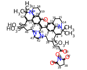 CC1(C)C=C(CS(=O)(=O)O)c2cc3c(c4c2N1CCC4)Oc1c2c4c(cc1=C3c1n(CCCCCC(=O)ON3C(=O)CCC3=O)cc[n+]1CCCS(=O)(=O)O)C(CS(=O)(=O)O)=CC(C)(C)[N+]=4CCC2